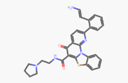 N/C=C/c1ccccc1-c1ccc2c(=O)c(C(=O)NCCN3CCCC3)c3sc4ccccc4n3c2n1